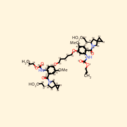 C=CCOC(=O)Nc1cc(OCCCCCOc2cc(NC(=O)OCC=C)c(C(=O)N3CC4(CC4)C[C@@H]3CCC(=O)O)cc2OC)c(OC)cc1C(=O)N1CC2(CC2)C[C@@H]1CCC(=O)O